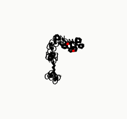 CCOc1nc2cccc(C(=O)OC(C)(C)OC(=O)O[C@@H]3CO[C@H]4[C@@H]3OC[C@H]4OCCCCC(CO[N+](=O)[O-])O[N+](=O)[O-])c2n1Cc1ccc(-c2ccccc2-c2nnnn2C(c2ccccc2)(c2ccccc2)c2ccccc2)cc1